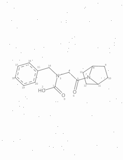 O=C(O)N(CC(=O)N1C2CCC1CC2)Cc1ccccc1